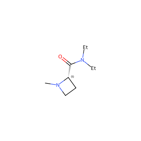 CCN(CC)C(=O)[C@@H]1CCN1C